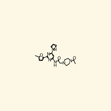 CC(=O)N1CCN(CC(=O)Nc2cc(-n3cccn3)nc(-c3ccc(C)o3)n2)CC1